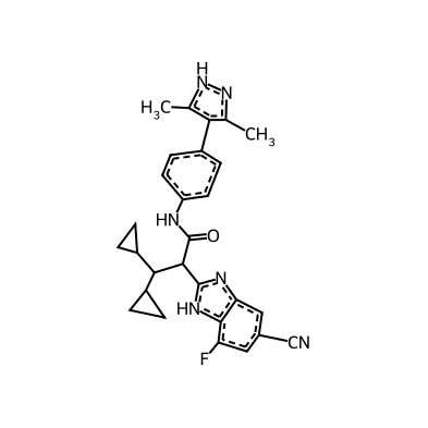 Cc1n[nH]c(C)c1-c1ccc(NC(=O)C(c2nc3cc(C#N)cc(F)c3[nH]2)C(C2CC2)C2CC2)cc1